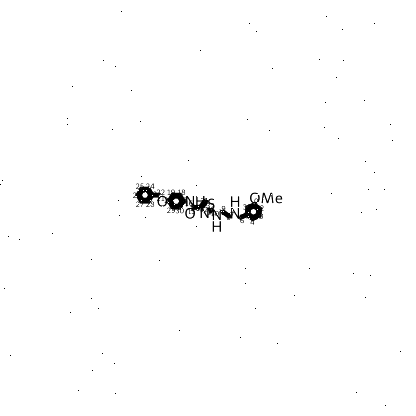 COc1cccc(CNCCNc2nc(C(=O)Nc3ccc(OCc4ccccc4)cc3)cs2)c1